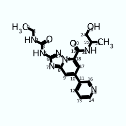 CCNC(=O)Nc1nc2cc(-c3cccnc3)cc(C(=O)NC(C)CO)n2n1